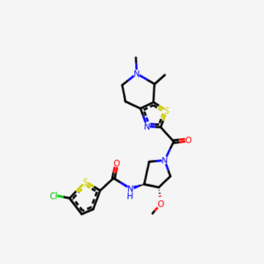 CO[C@H]1CN(C(=O)c2nc3c(s2)C(C)N(C)CC3)C[C@@H]1NC(=O)c1ccc(Cl)s1